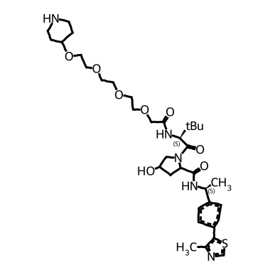 Cc1ncsc1-c1ccc([C@H](C)NC(=O)C2CC(O)CN2C(=O)[C@@H](NC(=O)COCCOCCOCCOC2CCNCC2)C(C)(C)C)cc1